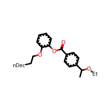 CCCCCCCCCCCCOc1ccccc1OC(=O)c1ccc(C(C)OCC)cc1